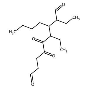 CCCCC(C(C=O)CC)C(CC)C(=O)C(=O)CCC=O